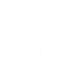 Cc1nn(Cc2ccc(F)cc2F)c(C)c1[N+](=O)[O-]